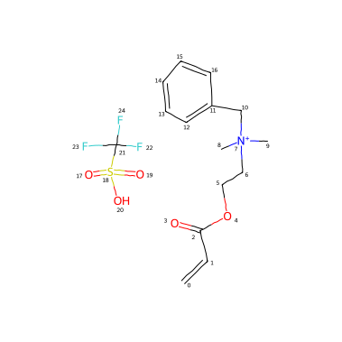 C=CC(=O)OCC[N+](C)(C)Cc1ccccc1.O=S(=O)(O)C(F)(F)F